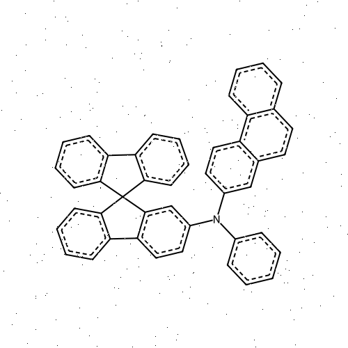 c1ccc(N(c2ccc3c(c2)C2(c4ccccc4-c4ccccc42)c2ccccc2-3)c2ccc3c(ccc4ccccc43)c2)cc1